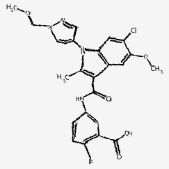 COCn1cc(-n2c(C)c(C(=O)Nc3ccc(F)c(C(=O)O)c3)c3cc(OC)c(Cl)cc32)cn1